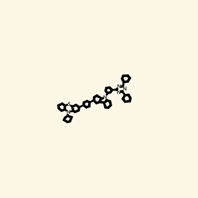 c1ccc(-c2nc(-c3ccccc3)nc(-c3cccc(-n4c5ccccc5c5cc(-c6ccc(-c7ccc8c(c7)Sc7ccccc7N8c7ccccc7)cc6)ccc54)c3)n2)cc1